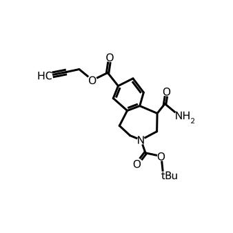 C#CCOC(=O)c1ccc2c(c1)CCN(C(=O)OC(C)(C)C)CC2C(N)=O